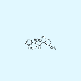 CC(C)[C@@H]1CC[C@@H](C)CC1C(=O)NC(CO)[C@H](O)c1ccccc1